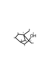 CC1(O)CC2CCC1(C)C2